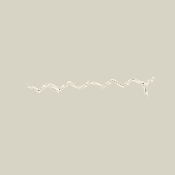 CC/C=C/CCCCCCCN(C)C